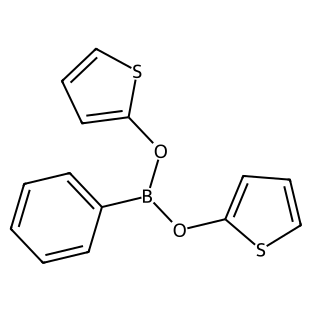 c1ccc(B(Oc2cccs2)Oc2cccs2)cc1